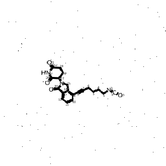 O=C=NCCCCC#Cc1cccc2c1CN(C1CCC(=O)NC1=O)C2=O